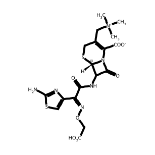 C[N+](C)(C)CC1=C(C(=O)[O-])N2C(=O)C(NC(=O)C(=NOCC(=O)O)c3csc(N)n3)[C@@H]2SC1